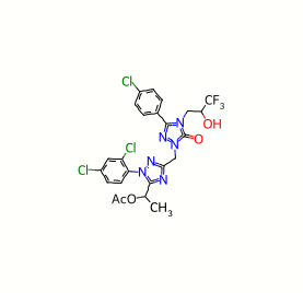 CC(=O)OC(C)c1nc(Cn2nc(-c3ccc(Cl)cc3)n(CC(O)C(F)(F)F)c2=O)nn1-c1ccc(Cl)cc1Cl